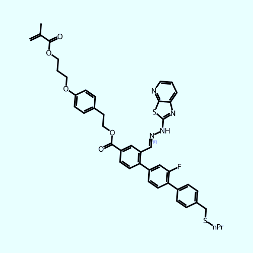 C=C(C)C(=O)OCCCOc1ccc(CCOC(=O)c2ccc(-c3ccc(-c4ccc(CSCCC)cc4)c(F)c3)c(/C=N/Nc3nc4cccnc4s3)c2)cc1